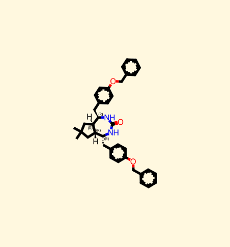 CC1(C)C[C@@H]2[C@@H](C1)[C@@H](Cc1ccc(OCc3ccccc3)cc1)NC(=O)N[C@@H]2Cc1ccc(OCc2ccccc2)cc1